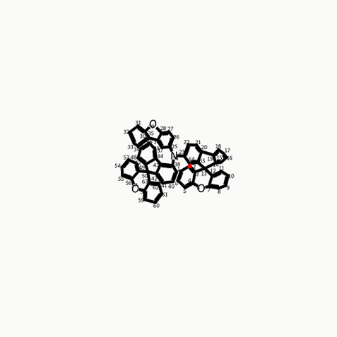 c1ccc2c(c1)Oc1ccccc1C21c2ccccc2-c2ccc(N(c3ccc4oc5ccccc5c4c3)c3cccc4c3-c3ccccc3C43c4ccccc4Oc4ccccc43)cc21